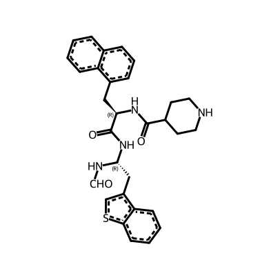 O=CN[C@@H](Cc1csc2ccccc12)NC(=O)[C@@H](Cc1cccc2ccccc12)NC(=O)C1CCNCC1